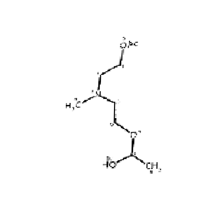 CC(=O)OCCN(C)CCOC(C)O